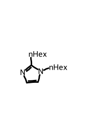 CCCCCCc1nccn1CCCCCC